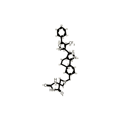 O=C1NC(=O)C2(CN(Cc3ccc4c(c3)CCc3c-4noc3-c3noc(-c4ccccc4)c3C(F)(F)F)C2)N1